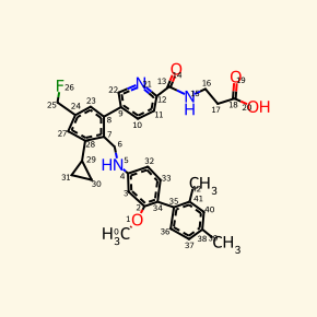 COc1cc(NCc2c(-c3ccc(C(=O)NCCC(=O)O)nc3)cc(CF)cc2C2CC2)ccc1-c1ccc(C)cc1C